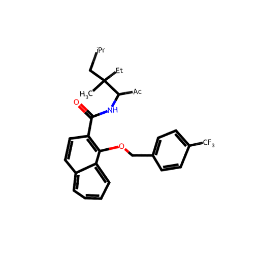 CCC(C)(CC(C)C)C(NC(=O)c1ccc2ccccc2c1OCc1ccc(C(F)(F)F)cc1)C(C)=O